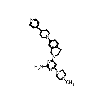 CN1CCN(c2cc(N3CCc4ccc(N5CCC(c6ccncc6)CC5)cc4C3)nc(N)n2)CC1